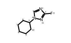 Fc1ncn(C2CCCCC2)n1